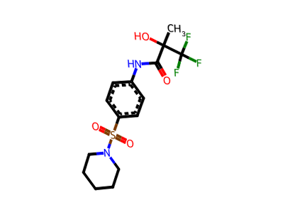 CC(O)(C(=O)Nc1ccc(S(=O)(=O)N2CCCCC2)cc1)C(F)(F)F